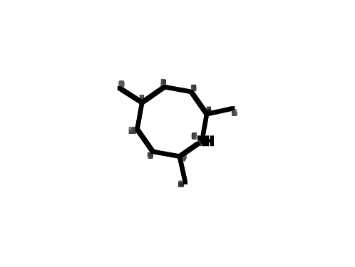 CC1CCC(C)NC(C)CC1